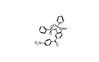 COc1ccc(C(=O)c2ccc([N+](=O)[O-])cc2)cc1N(S(=O)(=O)c1ccccc1)S(=O)(=O)c1ccccc1